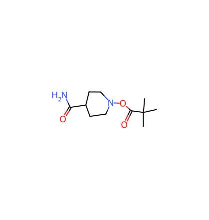 CC(C)(C)C(=O)ON1CCC(C(N)=O)CC1